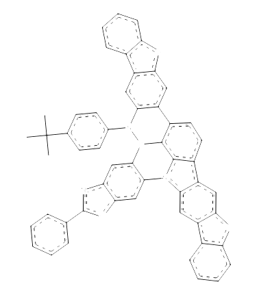 CC(C)(C)c1ccc(N2B3c4cc5nc(-c6ccccc6)oc5cc4-n4c5cc6c(cc5c5ccc(c3c54)-c3cc4sc5ccccc5c4cc32)sc2ccccc26)cc1